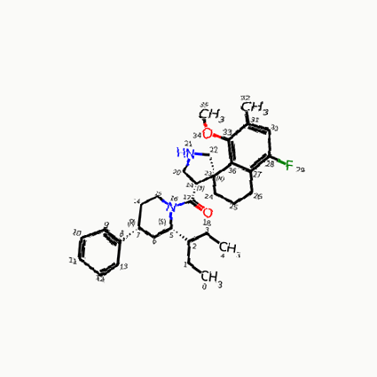 CCC(CC)[C@@H]1C[C@H](c2ccccc2)CCN1C(=O)[C@@H]1CNC[C@]12CCCc1c(F)cc(C)c(OC)c12